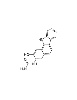 NC(=O)Nc1cc2ccc3c4ccccc4[nH]c3c2cc1O